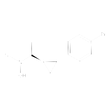 CC(=O)N(O)C(C)[C@@H]1C[C@H]1c1ccc(Br)cc1